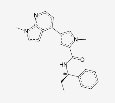 CC[C@@H](NC(=O)c1cc(-c2ccnc3c2ccn3C)cn1C)c1ccccc1